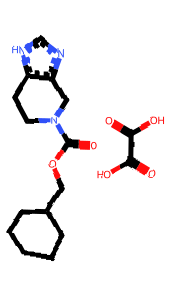 O=C(O)C(=O)O.O=C(OCC1CCCCC1)N1CCc2[nH]cnc2C1